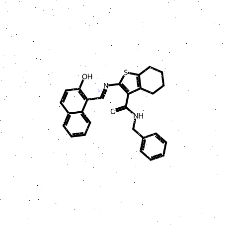 O=C(NCc1ccccc1)c1c(/N=C/c2c(O)ccc3ccccc23)sc2c1CCCC2